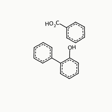 O=C(O)c1ccccc1.Oc1ccccc1-c1ccccc1